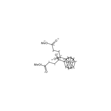 COC(=O)CCC(=O)[C]12[CH]3[CH]4[CH]5[CH]1[Fe]45321678[CH]2[CH]1[CH]6[C]7(C(=O)CCC(=O)OC)[CH]28